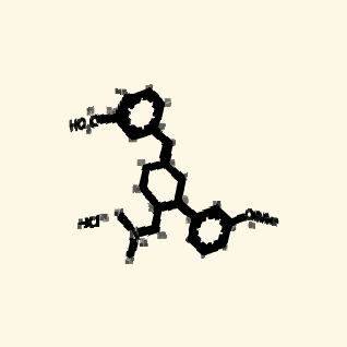 COc1cccc(C2C/C(=C/c3cccc(C(=O)O)c3)CCC2CN(C)C)c1.Cl